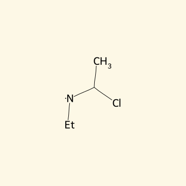 CC[N]C(C)Cl